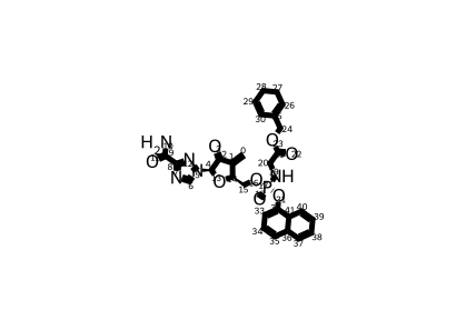 C=C1C(=O)[C@H](n2cnc(C(N)=O)n2)O[C@@H]1COP(=O)(NCC(=O)OCC1=CCCC=C1)OC1=CC=CC2C=CC=CC12